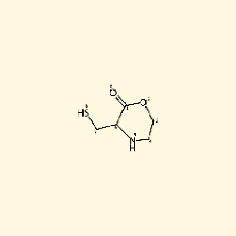 O=C1OCCNC1CS